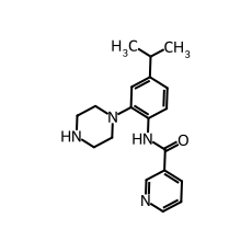 CC(C)c1ccc(NC(=O)c2cccnc2)c(N2CCNCC2)c1